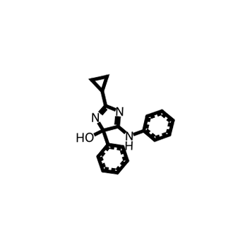 OC1(c2ccccc2)N=C(C2CC2)N=C1Nc1ccccc1